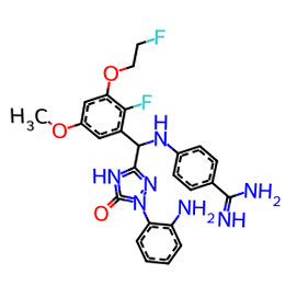 COc1cc(OCCF)c(F)c(C(Nc2ccc(C(=N)N)cc2)c2nn(-c3ccccc3N)c(=O)[nH]2)c1